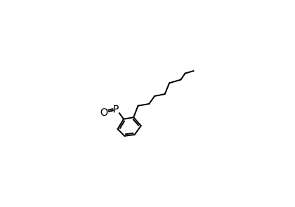 CCCCCCCCc1ccccc1P=O